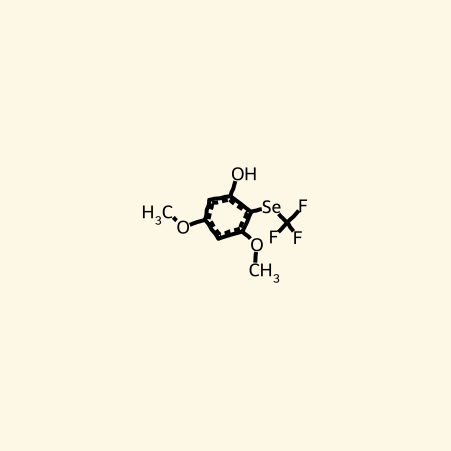 COc1cc(O)c([Se]C(F)(F)F)c(OC)c1